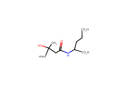 CCCCCCC(C)(O)CC(=O)NC(CCC(=O)O)C(=O)O